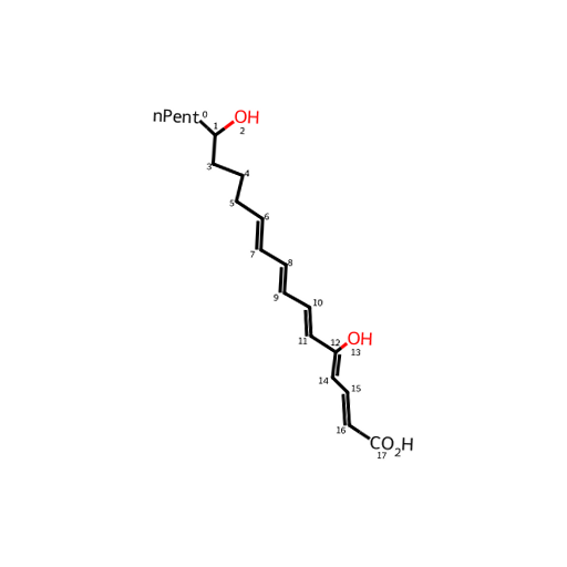 CCCCCC(O)CCC/C=C/C=C/C=C/C(O)=C/C=C/C(=O)O